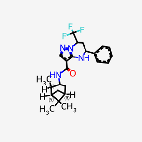 C[C@@H]1C(NC(=O)c2cnn3c2NC(c2ccccc2)CC3C(F)(F)F)C[C@H]2C[C@@H]1C2(C)C